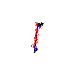 CC[C@@H]1CCN(C(=O)CCOCCOCCOCCOCCN2C(=O)CC(C(C)(C)C)C2=O)C1